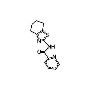 O=C(Nc1nc2c(s1)CCCC2)c1ccccn1